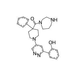 O=C(N1CCCNCC1)C1(c2ccccc2)CCN(c2cnnc(-c3ccccc3O)c2)CC1